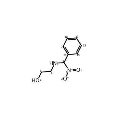 O=[N+]([O-])C(NCCO)c1ccccc1